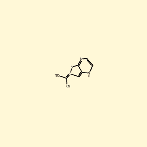 N#CC(C#N)=S1C=C2NC=CN=C2S1